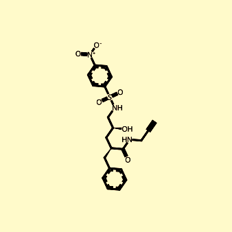 C#CCNC(=O)[C@@H](Cc1ccccc1)C[C@H](O)CNS(=O)(=O)c1ccc([N+](=O)[O-])cc1